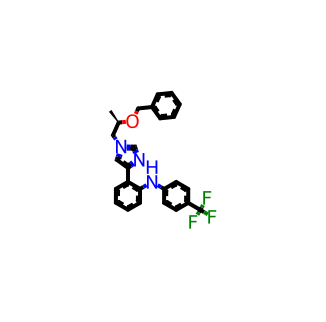 C[C@H](Cn1cnc(-c2ccccc2Nc2ccc(C(F)(F)F)cc2)c1)OCc1ccccc1